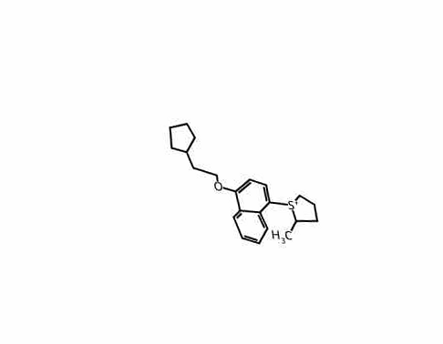 CC1CCC[S+]1c1ccc(OCCC2CCCC2)c2ccccc12